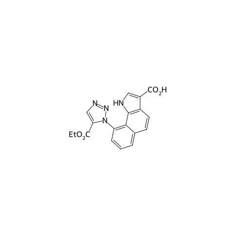 CCOC(=O)c1cnnn1-c1cccc2ccc3c(C(=O)O)c[nH]c3c12